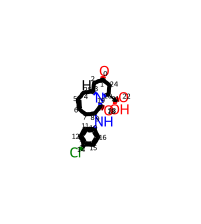 O=C1C[C@@H]2C/C=C\C[C@H](Nc3ccc(Cl)cc3)C(=O)N2[C@H](C(=O)O)C1